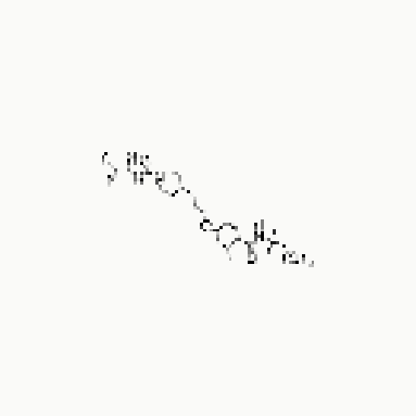 Cc1cc(OCCCC2CCN(c3nc(C(F)F)no3)CC2)ccc1C(=O)NC(C)(C)CN